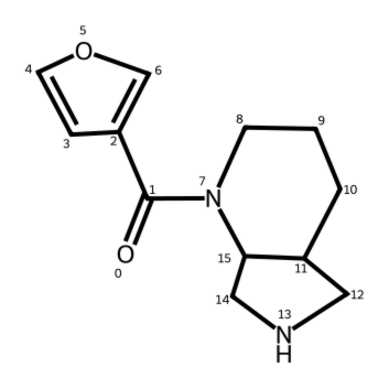 O=C(c1ccoc1)N1CCCC2CNCC21